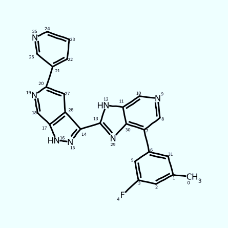 Cc1cc(F)cc(-c2cncc3[nH]c(-c4n[nH]c5cnc(-c6cccnc6)cc45)nc23)c1